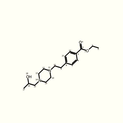 CCOC(=O)c1ccc(CCN2CCN(CC(C)O)CC2)cc1